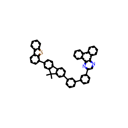 CC1(C)c2cc(-c3cccc(-c4cccc(-c5cnc6c7ccccc7c7ccccc7c6n5)c4)c3)ccc2-c2ccc(-c3cccc4c3sc3ccccc34)cc21